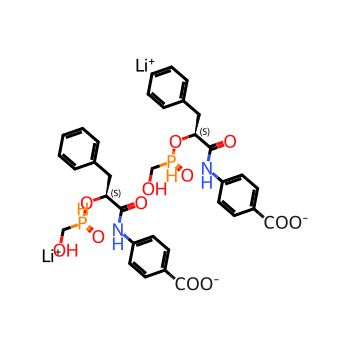 O=C([O-])c1ccc(NC(=O)[C@H](Cc2ccccc2)O[PH](=O)CO)cc1.O=C([O-])c1ccc(NC(=O)[C@H](Cc2ccccc2)O[PH](=O)CO)cc1.[Li+].[Li+]